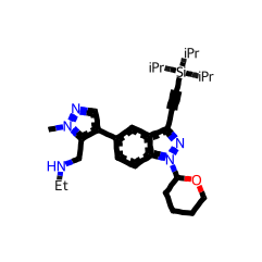 CCNCc1c(-c2ccc3c(c2)c(C#C[Si](C(C)C)(C(C)C)C(C)C)nn3C2CCCCO2)cnn1C